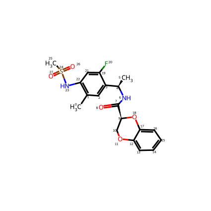 Cc1cc([C@@H](C)NC(=O)[C@@H]2COc3ccccc3O2)c(F)cc1NS(C)(=O)=O